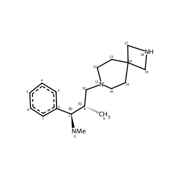 [CH2-][NH2+][C@@H](c1ccccc1)[C@@H](C)CN1CCC2(CC1)CNC2